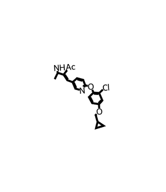 CC(=O)NC(C)/C(C)=C/c1ccc(Oc2ccc(OCC3CC3)cc2Cl)nc1